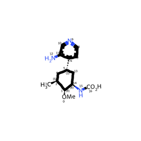 CO[C@@H]1[C@@H](C)C[C@H](c2ccncc2N)C[C@H]1NC(=O)O